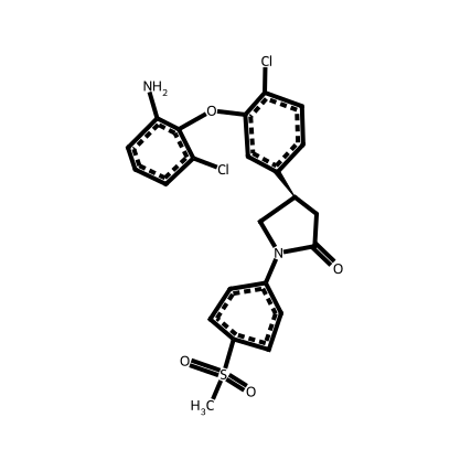 CS(=O)(=O)c1ccc(N2C[C@@H](c3ccc(Cl)c(Oc4c(N)cccc4Cl)c3)CC2=O)cc1